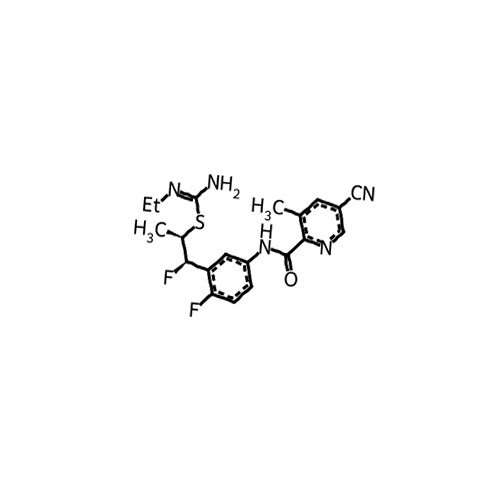 CC/N=C(/N)S[C@H](C)[C@H](F)c1cc(NC(=O)c2ncc(C#N)cc2C)ccc1F